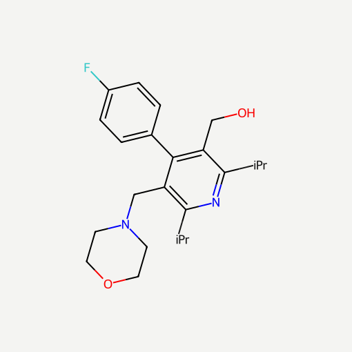 CC(C)c1nc(C(C)C)c(CN2CCOCC2)c(-c2ccc(F)cc2)c1CO